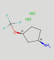 Cl.Cl.N[C@@H]1CC[C@H](OC(F)(F)F)C1